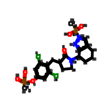 O=C1C(Cc2c(Cl)cc(OS(=O)(=O)C(F)(F)F)cc2Cl)CCN1C1CCCc2cn(S(=O)(=O)C(F)(F)F)nc21